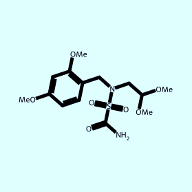 COc1ccc(CN(CC(OC)OC)S(=O)(=O)C(N)=O)c(OC)c1